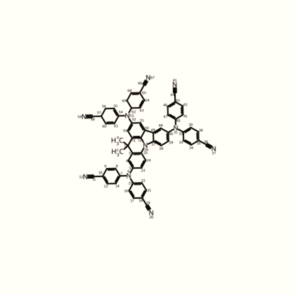 CC1(C)c2cc(N(c3ccc(C#N)cc3)c3ccc(C#N)cc3)ccc2-n2c3ccc(N(c4ccc(C#N)cc4)c4ccc(C#N)cc4)cc3c3cc(N(C4=CCC(C#N)C=C4)C4C=CC(C#N)=CC4)cc1c32